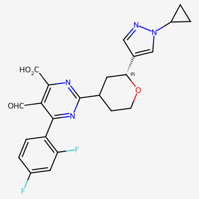 O=Cc1c(C(=O)O)nc(C2CCO[C@@H](c3cnn(C4CC4)c3)C2)nc1-c1ccc(F)cc1F